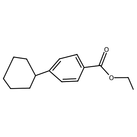 CCOC(=O)c1ccc(C2CCCCC2)cc1